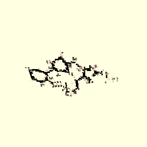 CC/C=C/c1nc(OCCC)nn1Cc1ccc(-c2ccccc2C(=O)O)cc1